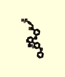 CC#CCNc1cccc(Oc2ccnc(N)c2-c2ccc(Oc3ccccc3)cc2)c1